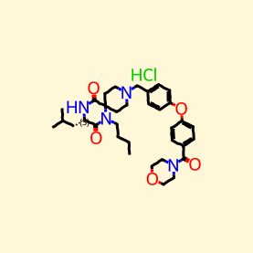 CCCCN1C(=O)[C@H](CC(C)C)NC(=O)C12CCN(Cc1ccc(Oc3ccc(C(=O)N4CCOCC4)cc3)cc1)CC2.Cl